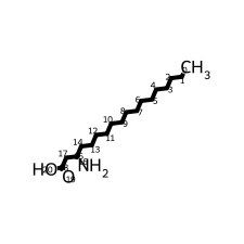 CCCCCCCCCCCCCCCC(N)CC(=O)O